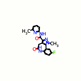 Cc1cccc(NC(=O)c2nn(C)c3c2CC(=O)Nc2ccc(F)cc2-3)n1